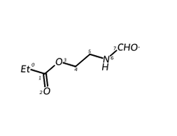 CCC(=O)OCCN[C]=O